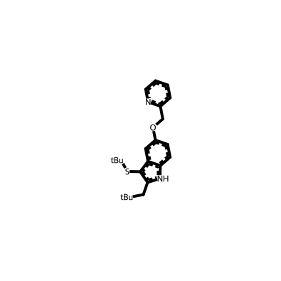 CC(C)(C)Cc1[nH]c2ccc(OCc3ccccn3)cc2c1SC(C)(C)C